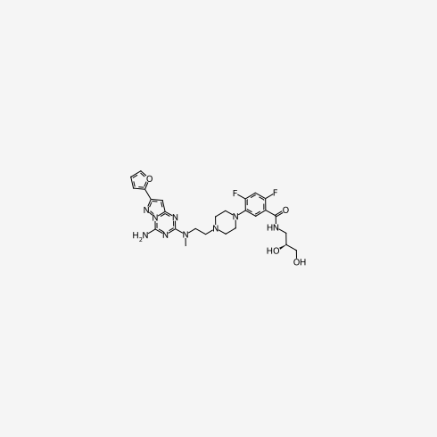 CN(CCN1CCN(c2cc(C(=O)NC[C@H](O)CO)c(F)cc2F)CC1)c1nc(N)n2nc(-c3ccco3)cc2n1